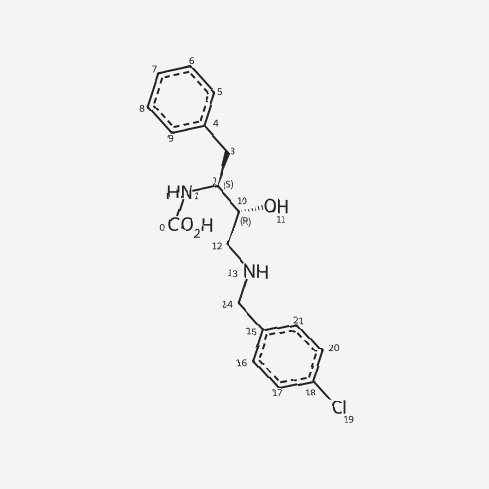 O=C(O)N[C@@H](Cc1ccccc1)[C@H](O)CNCc1ccc(Cl)cc1